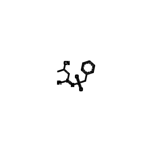 CC(C#N)CS(=NS(=O)(=O)Cc1ccccc1)C(C)C